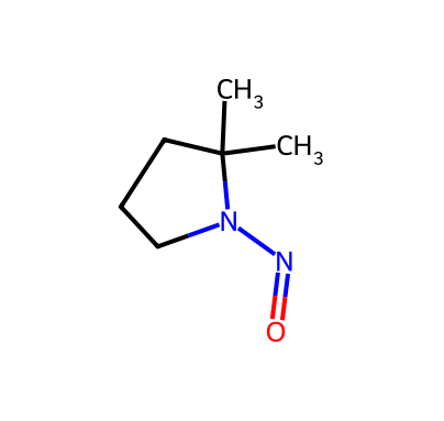 CC1(C)CCCN1N=O